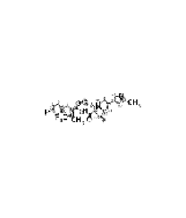 C[C@H](N(Cc1ccc(F)cc1)C(=O)CN1C(=O)NC2(CC(F)c3cc(-c4cnn(C)c4)ccc32)C1=O)C(F)(F)F